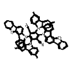 Cc1ccc2c(c1)c1cc(C)ccc1n2-c1c(C#N)c(-n2c3ccccc3c3c4oc5ccccc5c4ccc32)c(-n2c3ccc(C)cc3c3cc(C)ccc32)c(C#N)c1-n1c2ccccc2c2c3oc4ccccc4c3ccc21